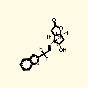 O=C1C[C@@H]2[C@@H](C=CC(F)(F)c3cc4ccccc4s3)[C@H](O)C[C@@H]2O1